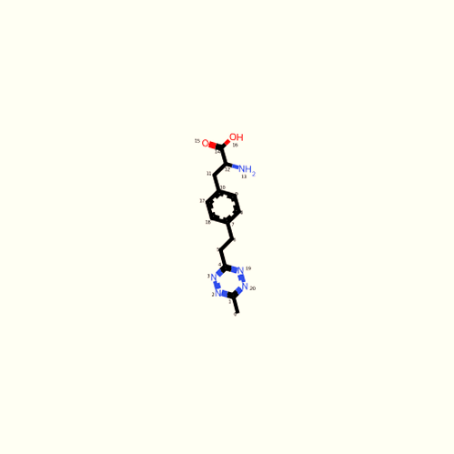 Cc1nnc(CCc2ccc(CC(N)C(=O)O)cc2)nn1